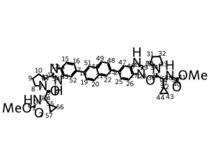 COC(=O)N[C@H](C(=O)N1CCC[C@H]1c1nc2ccc(-c3ccc4cc(-c5ccc6nc([C@@H]7CCCN7C(=O)[C@@H](NC(=O)OC)C7CC7)[nH]c6c5)ccc4c3)cc2[nH]1)C1CC1